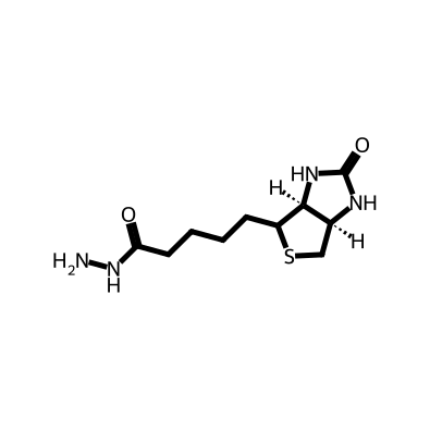 NNC(=O)CCCCC1SC[C@@H]2NC(=O)N[C@H]12